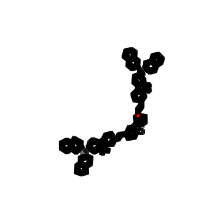 CC1(C)c2cc(/C=C/c3ccc4sc5ccc(/C=C/c6ccc7c(c6)C(C)(C)c6cc(N(c8ccc9ccccc9c8)c8ccc9ccccc9c8)ccc6-7)cc5c4c3)ccc2-c2ccc(N(c3ccc4ccccc4c3)c3ccc4ccccc4c3)cc21